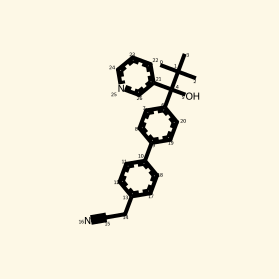 CC(C)(C)C(O)(c1ccc(-c2ccc(CC#N)cc2)cc1)c1cccnc1